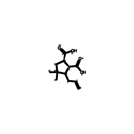 C=CCC1N(C(=O)O)[C@H](C(=O)O)CC1(C)C